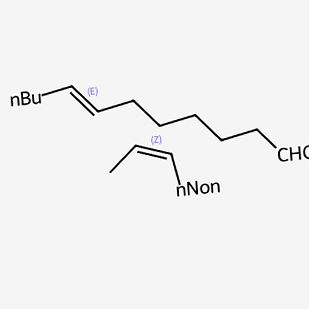 C/C=C\CCCCCCCCC.CCCC/C=C/CCCCCC=O